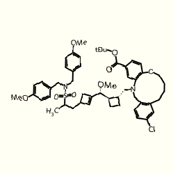 COc1ccc(CN(Cc2ccc(OC)cc2)S(=O)(=O)C(C)CC2C=C([C@H](OC)[C@@H]3CC[C@H]3CN3Cc4ccc(Cl)cc4CCCCOc4ccc(C(=O)OC(C)(C)C)cc43)C2)cc1